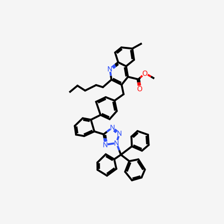 CCCCCc1nc2ccc(C)cc2c(C(=O)OC)c1Cc1ccc(-c2ccccc2-c2nnn(C(c3ccccc3)(c3ccccc3)c3ccccc3)n2)cc1